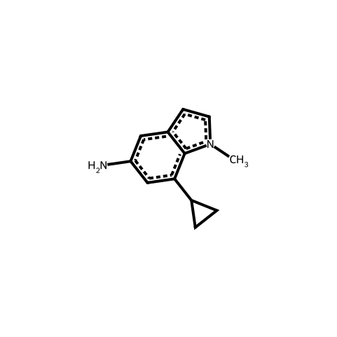 Cn1ccc2cc(N)cc(C3CC3)c21